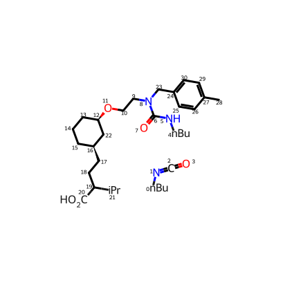 CCCCN=C=O.CCCCNC(=O)N(CCO[C@@H]1CCC[C@H](CCC(C(=O)O)C(C)C)C1)Cc1ccc(C)cc1